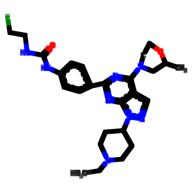 CC1CN(c2nc(-c3ccc(NC(=O)NCCF)cc3)nc3c2cnn3C2CCN(CC(=O)O)CC2)CCO1